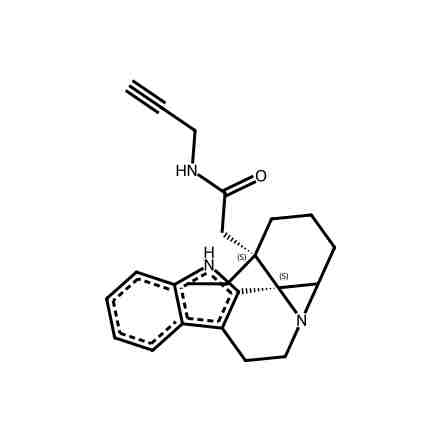 C#CCNC(=O)C[C@]1(CC)CCCC2N3CCc4c([nH]c5ccccc45)[C@]231